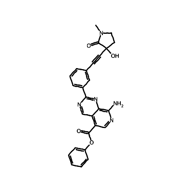 CN1CCC(O)(C#Cc2cccc(-c3ncc4c(C(=O)Oc5ccccc5)cnc(N)c4n3)c2)C1=O